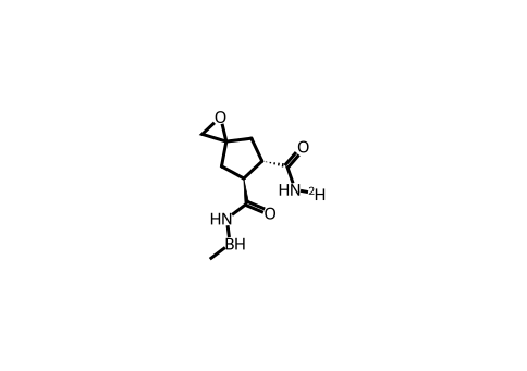 [2H]NC(=O)[C@H]1CC2(CO2)C[C@@H]1C(=O)NBC